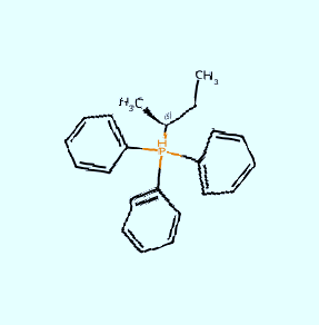 CC[C@H](C)[PH](c1ccccc1)(c1ccccc1)c1ccccc1